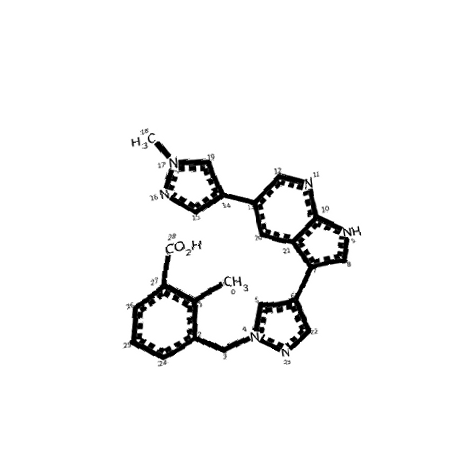 Cc1c(Cn2cc(-c3c[nH]c4ncc(-c5cnn(C)c5)cc34)cn2)cccc1C(=O)O